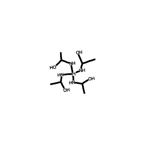 CC(O)[NH][Pt]([NH]C(C)O)([NH]C(C)O)[NH]C(C)O